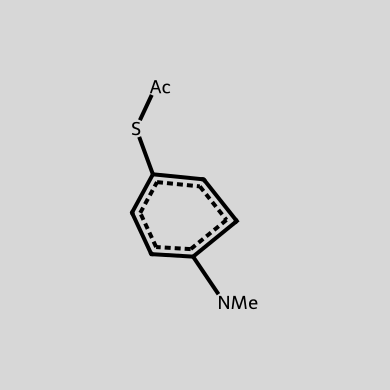 CNc1ccc(SC(C)=O)cc1